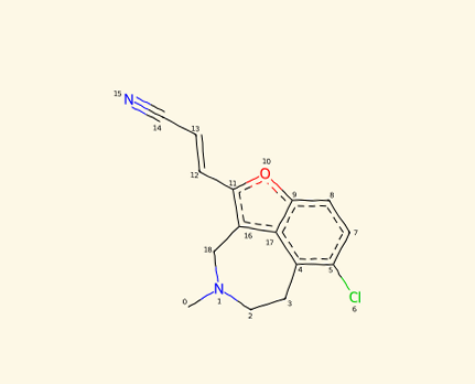 CN1CCc2c(Cl)ccc3oc(C=CC#N)c(c23)C1